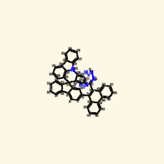 N/N=C(\N)c1c(-c2ccc3c(c2)C2(c4ccccc4-3)c3ccccc3-n3c4ccccc4c4cccc2c43)c2ccccc2c2ccccc12